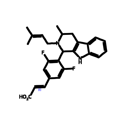 CC(C)=CCN1C(C)Cc2c([nH]c3ccccc23)C1c1c(F)cc(/C=C/C(=O)O)cc1F